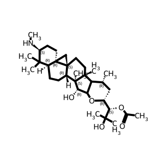 CN[C@H]1CC[C@]23C[C@]24CC[C@]2(C)C5C(O[C@@H]([C@H](OC(C)=O)C(C)(C)O)C[C@H]5C)[C@H](O)[C@@]2(C)[C@@H]4CC[C@H]3C1(C)C